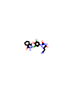 N#CCc1nn(-c2cc(Cl)c(Oc3n[nH]c(=O)c4c3CCCC4)c(Cl)c2)c(=O)[nH]c1=O